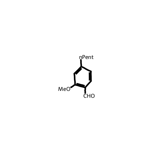 CCCCCc1ccc(C=O)c(OC)c1